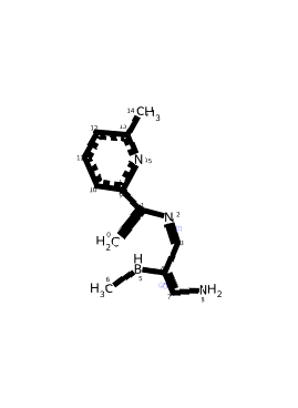 C=C(/N=C\C(BC)=C/N)c1cccc(C)n1